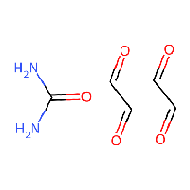 NC(N)=O.O=CC=O.O=CC=O